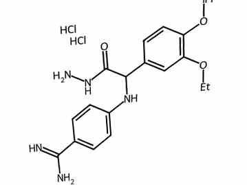 CCOc1cc(C(Nc2ccc(C(=N)N)cc2)C(=O)NN)ccc1OC(C)C.Cl.Cl